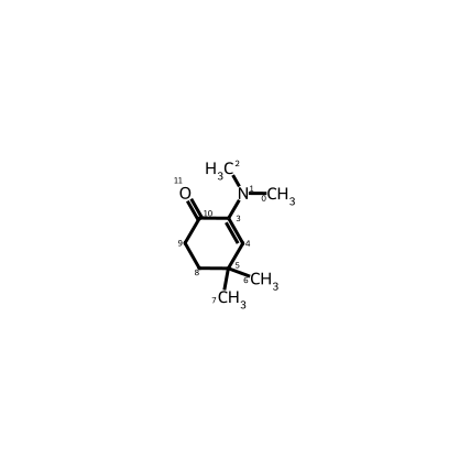 CN(C)C1=CC(C)(C)CCC1=O